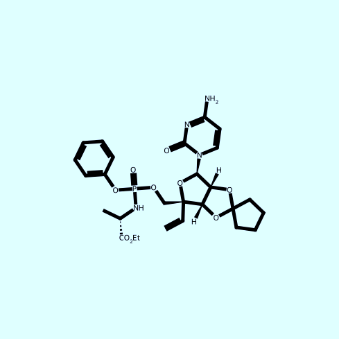 C=C[C@]1(COP(=O)(N[C@@H](C)C(=O)OCC)Oc2ccccc2)O[C@@H](n2ccc(N)nc2=O)[C@@H]2OC3(CCCC3)O[C@@H]21